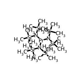 C[Si](C)(C)[N]([Pr]([N]([Si](C)(C)C)[Si](C)(C)C)[N]([Si](C)(C)C)[Si](C)(C)C)[Si](C)(C)C